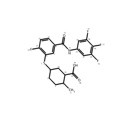 CC1CCC(Sc2cc(C(=O)Nc3cc(F)c(F)c(F)c3)ccc2F)CC1C(=O)O